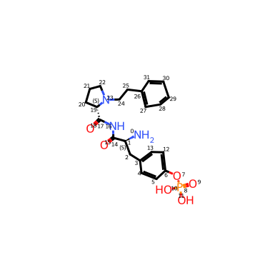 N[C@@H](Cc1ccc(OP(=O)(O)O)cc1)C(=O)NC(=O)[C@@H]1CCCN1CCc1ccccc1